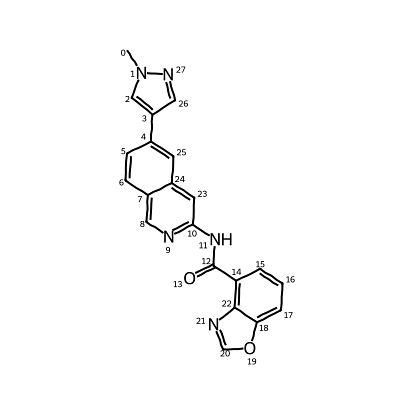 Cn1cc(-c2ccc3cnc(NC(=O)c4cccc5ocnc45)cc3c2)cn1